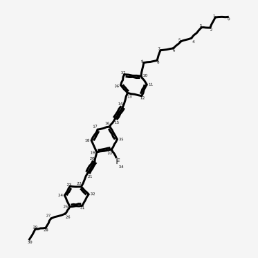 CCCCCCCCCCc1ccc(C#Cc2ccc(C#Cc3ccc(CCCCC)cc3)c(F)c2)cc1